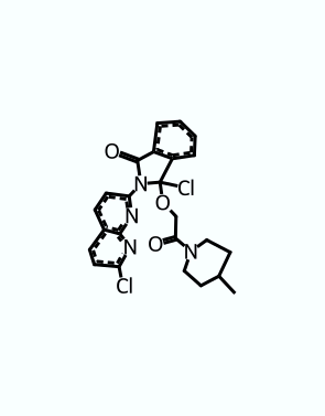 CC1CCN(C(=O)COC2(Cl)c3ccccc3C(=O)N2c2ccc3ccc(Cl)nc3n2)CC1